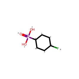 O=P(O)(O)C1CCC(F)CC1